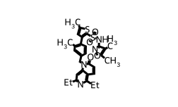 CCc1cc2c(ccc(=O)n2Cc2ccc(-c3cc(C)sc3S(=O)(=O)Nc3noc(C)c3C)c(C)c2)c(CC)n1